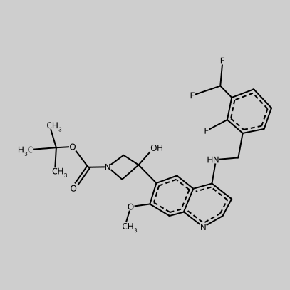 COc1cc2nccc(NCc3cccc(C(F)F)c3F)c2cc1C1(O)CN(C(=O)OC(C)(C)C)C1